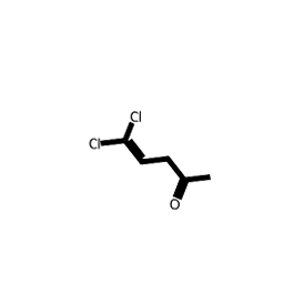 CC(=O)CC=C(Cl)Cl